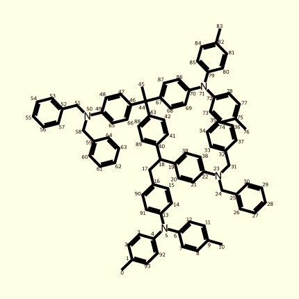 Cc1ccc(N(c2ccc(C)cc2)c2ccc(CC(c3ccc(N(Cc4ccccc4)Cc4ccccc4)cc3)c3ccc(C(C)(c4ccc(N(Cc5ccccc5)Cc5ccccc5)cc4)c4ccc(N(c5ccc(C)cc5)c5ccc(C)cc5)cc4)cc3)cc2)cc1